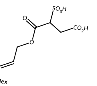 CCCCCCC=CCOC(=O)C(CC(=O)O)S(=O)(=O)O